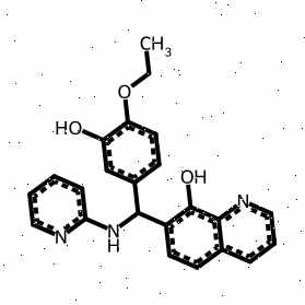 CCOc1ccc(C(Nc2ccccn2)c2ccc3cccnc3c2O)cc1O